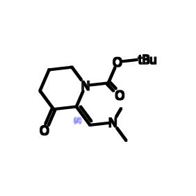 CN(C)/C=C1/C(=O)CCCN1C(=O)OC(C)(C)C